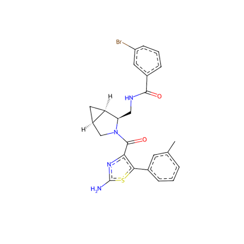 Cc1cccc(-c2sc(N)nc2C(=O)N2C[C@H]3C[C@H]3[C@H]2CNC(=O)c2cccc(Br)c2)c1